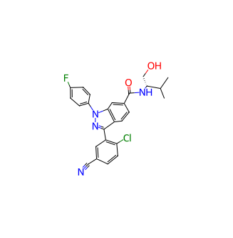 CC(C)[C@@H](CO)NC(=O)c1ccc2c(-c3cc(C#N)ccc3Cl)nn(-c3ccc(F)cc3)c2c1